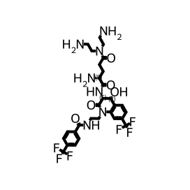 NCCN(CCN)C(=O)CC[C@H](N)C(=O)N[C@@H]1C(=O)N(CCNC(=O)c2ccc(C(F)(F)F)cc2)c2cc(C(F)(F)F)ccc2[C@H]1O